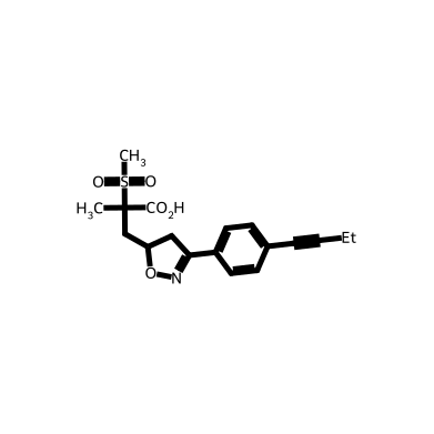 CCC#Cc1ccc(C2=NOC(CC(C)(C(=O)O)S(C)(=O)=O)C2)cc1